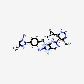 CCn1cc(C(F)(F)F)nc1-c1ccc(C(C)n2c(=N)[nH]c3cnc(-c4c(OC)ncnc4C4CC4)nc32)cc1